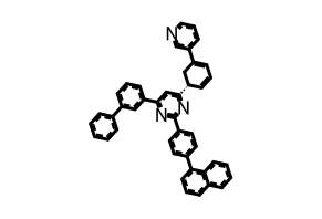 C1=C[C@H](c2cc(-c3cccc(-c4ccccc4)c3)nc(-c3ccc(-c4cccc5ccccc45)cc3)n2)CC(c2cccnc2)=C1